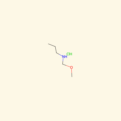 CCCNCOC.Cl